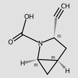 C#C[C@@H]1C[C@H]2C[C@H]2N1C(=O)O